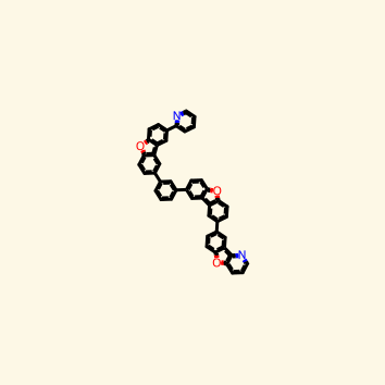 c1ccc(-c2ccc3oc4ccc(-c5cccc(-c6ccc7oc8ccc(-c9ccc%10oc%11cccnc%11c%10c9)cc8c7c6)c5)cc4c3c2)nc1